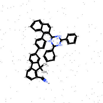 CC1(C)c2cc(-c3ccc(-c4c(C5NC(c6ccccc6)NC(c6ccccc6)N5)ccc5ccccc45)cc3)ccc2-c2cccc(C#N)c21